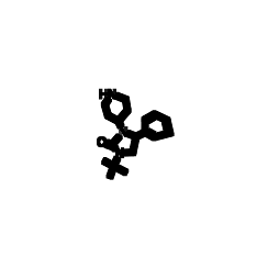 CC(C)(C)N1CC(c2ccccc2)N(C2CCNCC2)C1=O